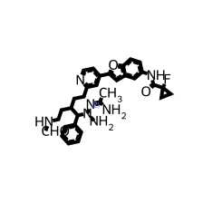 C/C(N)=N/N(N)C(c1ccccc1)C(CCNC=O)CCc1cc(-c2cc3cc(NC(=O)C4(F)CC4)ccc3o2)ccn1